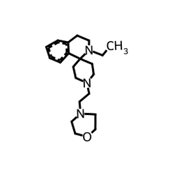 CCN1CCc2ccccc2C12CCN(CCN1CCOCC1)CC2